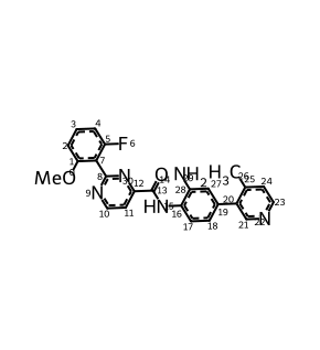 COc1cccc(F)c1-c1nccc(C(=O)Nc2ccc(-c3cnccc3C)cc2N)n1